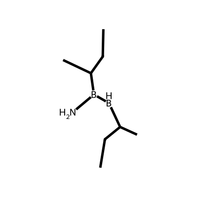 CCC(C)BB(N)C(C)CC